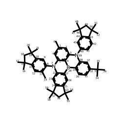 Cc1cc2c3c(c1)N(c1cc4c(cc1C)C(C)(C)CC4(C)C)c1cc4c(cc1B3c1ccc(C(C)(C)C)cc1N2c1ccc2c(c1)C(C)(C)CC2(C)C)C(C)(C)CC4(C)C